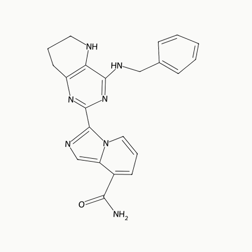 NC(=O)c1cccn2c(-c3nc4c(c(NCc5ccccc5)n3)NCCC4)ncc12